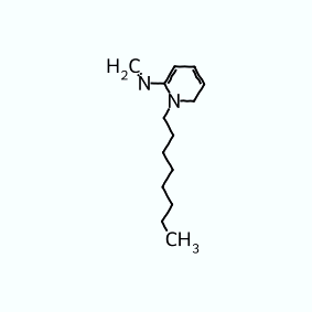 C=NC1=CC=CCN1CCCCCCCC